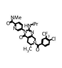 CNC(=O)c1ccc(-n2c(NC(C)C)nc3c(c2=O)C[C@@H](C)N(C(=O)c2ccc(Cl)c(C(F)(F)F)c2)C3)cn1